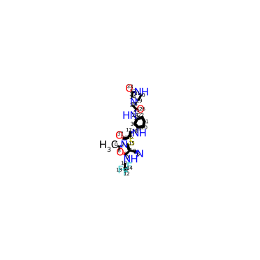 CCn1c(=C(C#N)C(=O)NCC(F)(F)F)sc(=CNc2cccc(NC(=O)CN3CCNC(=O)C3)c2)c1=O